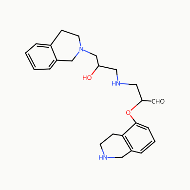 O=CC(CNCC(O)CN1CCc2ccccc2C1)Oc1cccc2c1CCNC2